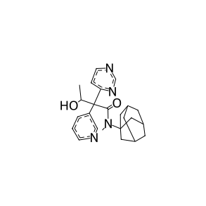 CC(O)C(C(=O)N(C)C12CC3CC(CC(C3)C1)C2)(c1cccnc1)c1ccncn1